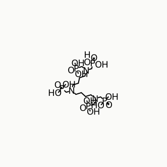 O=P(O)(O)CN(CCCCN(CP(=O)(O)O)CP(=O)(O)O)CCCCN(CP(=O)(O)O)CP(=O)(O)O